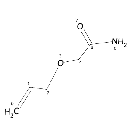 C=CCOCC(N)=O